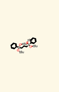 CC(C)(C)O[Si](CCC[Si](OC(C)(C)C)(OC(C)(C)C)c1ccccc1)(OC(C)(C)C)c1ccccc1